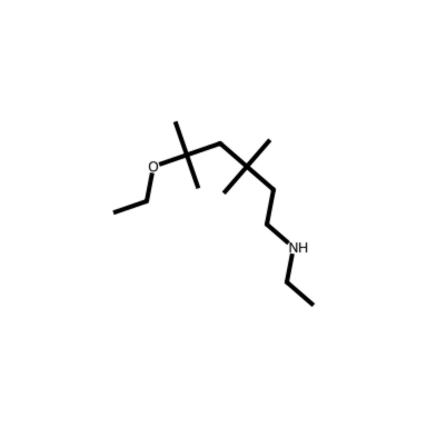 CCNCCC(C)(C)CC(C)(C)OCC